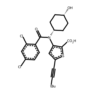 CC(C)(C)C#Cc1cc(N(C(=O)c2ccc(Cl)cc2Cl)[C@H]2CC[C@@H](O)CC2)c(C(=O)O)s1